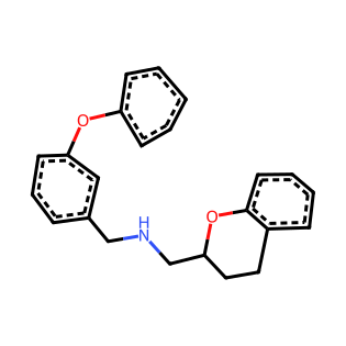 c1ccc(Oc2cccc(CNCC3CCc4ccccc4O3)c2)cc1